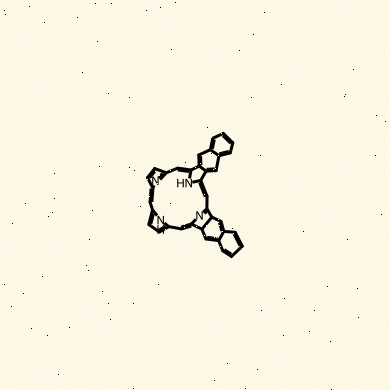 C1=Cc2cc3[nH]c(cc4nc(cc5ccc(cc1n2)[nH]5)C1C=c2ccccc2=CC41)c1cc2ccccc2cc31